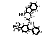 O=C(Nc1cc(S(F)(F)(F)(F)F)ccc1-c1ccccc1)N[C@@H]1c2ccccc2C[C@@H]1O